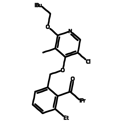 CCc1cccc(COc2c(Cl)cnc(OCC(C)CC)c2C)c1C(=O)C(C)C